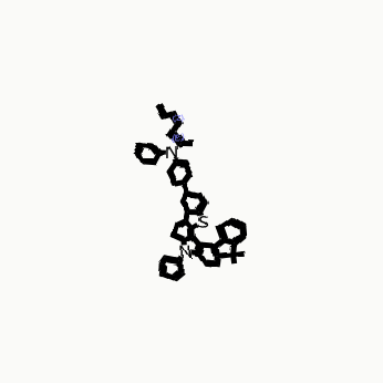 C=C/C=C\C=C(/C)N(c1ccccc1)c1ccc(-c2ccc3sc4c(ccc5c4c4c6c(ccc4n5-c4ccccc4)C(C)(C)c4ccccc4-6)c3c2)cc1